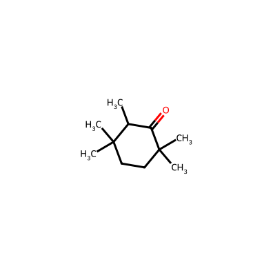 CC1C(=O)C(C)(C)CCC1(C)C